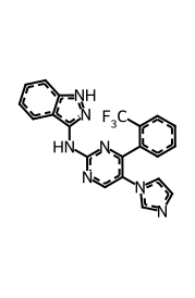 FC(F)(F)c1ccccc1-c1nc(Nc2n[nH]c3ccccc23)ncc1-n1ccnc1